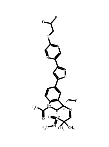 CN=[S@]1(=O)C(OC(=O)C(F)(F)F)[C@@](CF)(c2cc(-c3cc(-c4cnc(OCC(F)F)cn4)no3)ccc2F)N=CC1(C)C